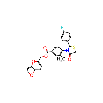 Cc1cc(C(=O)OCC2=CC=C3OCC=C3O2)ccc1N1C(=O)CSC1c1ccc(F)cc1